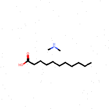 CCCCCCCCCCC(=O)O.CNC